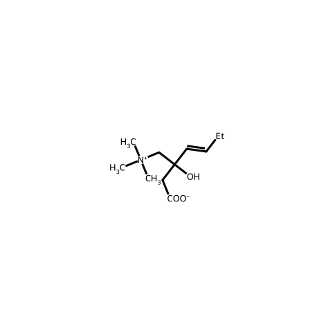 CCC=CC(O)(CC(=O)[O-])C[N+](C)(C)C